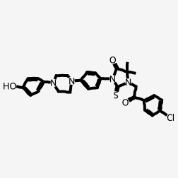 CC1(C)C(=O)N(c2ccc(N3CCN(c4ccc(O)cc4)CC3)cc2)C(=S)N1CC(=O)c1ccc(Cl)cc1